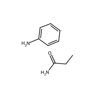 CCC(N)=O.Nc1cc[c]cc1